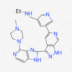 CCNCc1cncc(-c2cc3c(-c4nc5c(N6CCN(C)CC6)nccc5[nH]4)n[nH]c3cn2)c1